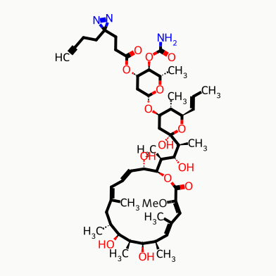 C#CCCC1(CCC(=O)O[C@H]2C[C@@H](O[C@@H]3C[C@](O)([C@@H](C)[C@H](O)[C@H](C)[C@H]4OC(=O)/C(OC)=C/C(C)=C/[C@@H](C)[C@@H](O)[C@@H](C)[C@@H](O)[C@H](C)C/C(C)=C/C=C/[C@@H]4O)O[C@H](/C=C/C)[C@H]3C)O[C@@H](C)[C@@H]2OC(N)=O)N=N1